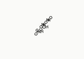 O=C(Nc1ccc2c(O)c(N=Nc3ccc(N=Nc4ccccc4)cc3)ccc2c1)c1ccccc1